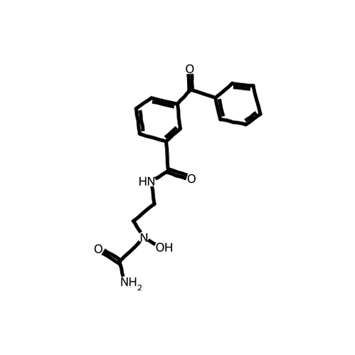 NC(=O)N(O)CCNC(=O)c1cccc(C(=O)c2ccccc2)c1